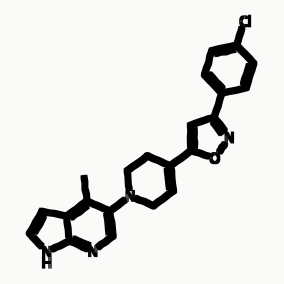 Cc1c(N2CC=C(c3cc(-c4ccc(Cl)cc4)no3)CC2)cnc2[nH]ccc12